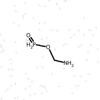 NCO[PH2]=O